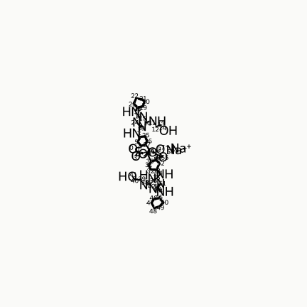 O=S(=O)([O-])c1cc(Nc2nc(NCCO)nc(Nc3ccccc3)n2)ccc1/C=C/c1ccc(Nc2nc(NCCO)nc(Nc3ccccc3)n2)cc1S(=O)(=O)[O-].[Na+].[Na+]